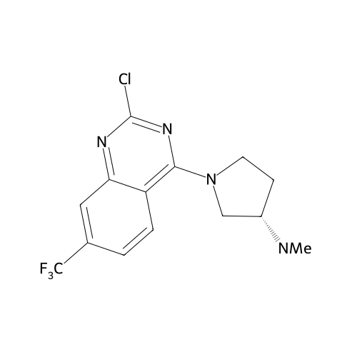 CN[C@H]1CCN(c2nc(Cl)nc3cc(C(F)(F)F)ccc23)C1